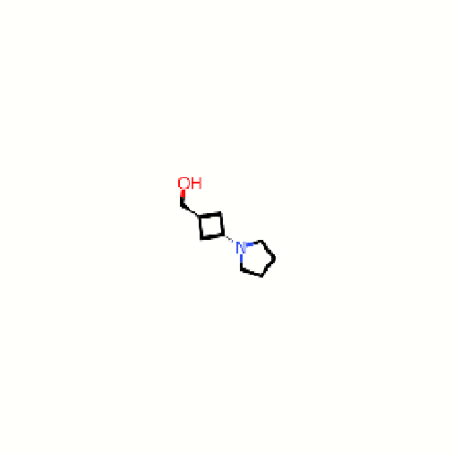 OC[C@H]1C[C@H](N2CCCC2)C1